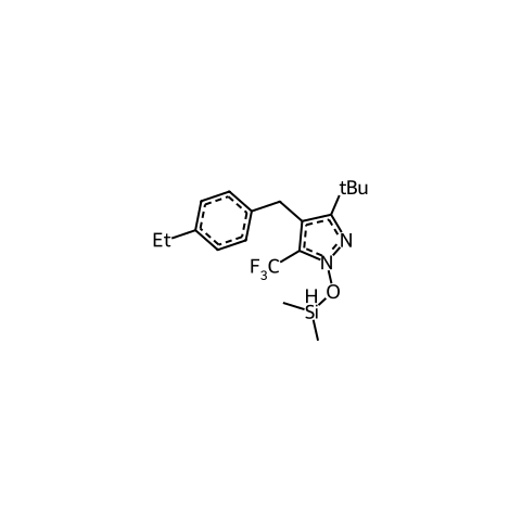 CCc1ccc(Cc2c(C(C)(C)C)nn(O[SiH](C)C)c2C(F)(F)F)cc1